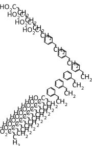 C=CC(=O)O.C=CC(=O)O.C=CC(=O)O.C=CC(=O)O.C=CC(=O)O.C=CC(=O)O.C=CC(=O)O.C=CC(=O)O.C=CC(=O)O.C=CC(=O)O.C=CC(=O)O.C=CC(=O)O.C=CC(=O)O.C=CC(=O)O.C=Cc1ccccc1.C=Cc1ccccc1.C=Cc1ccccc1.C=Cc1ccccc1.C=Cc1ccccc1.C=Cc1ccccc1